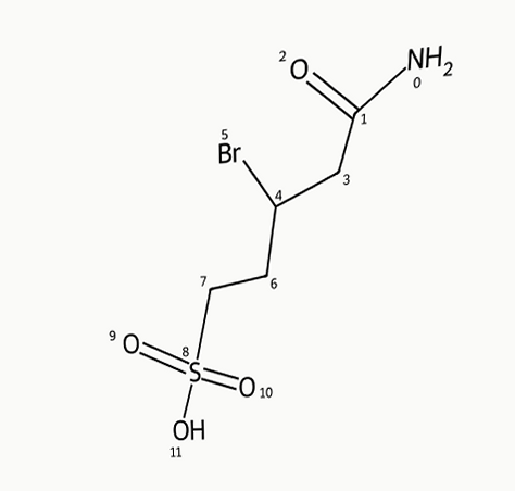 NC(=O)CC(Br)CCS(=O)(=O)O